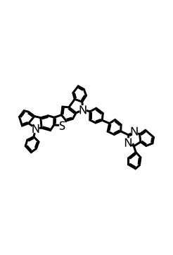 c1ccc(-c2nc(-c3ccc(-c4ccc(-n5c6ccccc6c6cc7c(cc65)sc5cc6c(cc57)c5ccccc5n6-c5ccccc5)cc4)cc3)nc3ccccc23)cc1